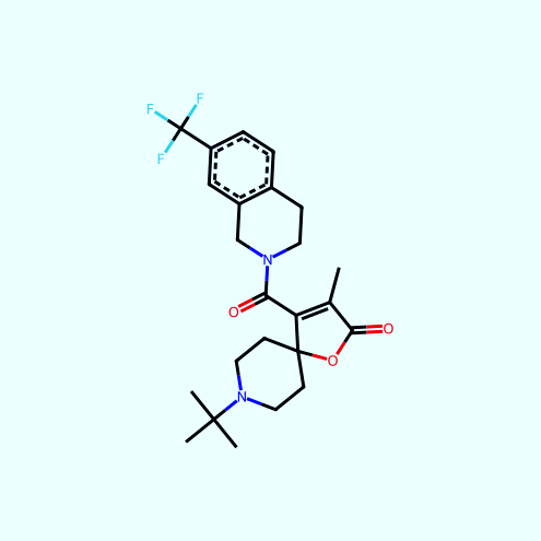 CC1=C(C(=O)N2CCc3ccc(C(F)(F)F)cc3C2)C2(CCN(C(C)(C)C)CC2)OC1=O